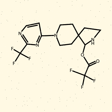 O=C(OC1NCCC12CCN(c1ccnc(C(F)(F)F)n1)CC2)C(F)(F)F